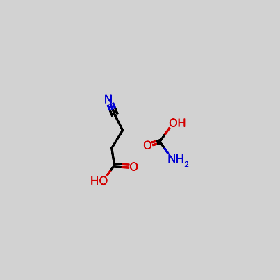 N#CCCC(=O)O.NC(=O)O